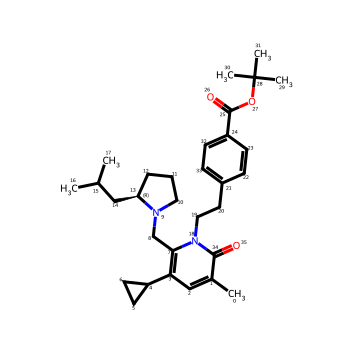 Cc1cc(C2CC2)c(CN2CCC[C@@H]2CC(C)C)n(CCc2ccc(C(=O)OC(C)(C)C)cc2)c1=O